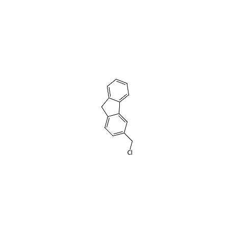 ClCc1ccc2c(c1)-c1ccccc1C2